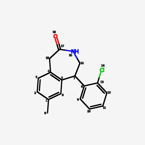 Cc1ccc2c(c1)C(c1ccccc1Cl)CNC(=O)C2